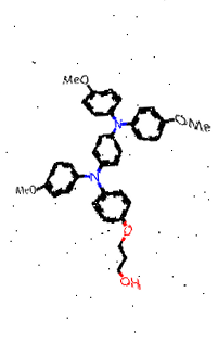 COc1ccc(N(c2ccc(OC)cc2)c2ccc(N(c3ccc(OC)cc3)c3ccc(OCCCO)cc3)cc2)cc1